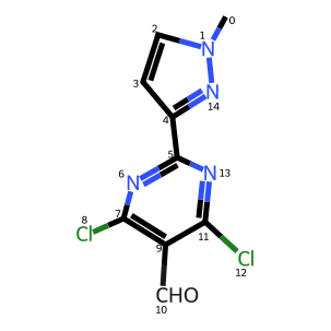 Cn1ccc(-c2nc(Cl)c(C=O)c(Cl)n2)n1